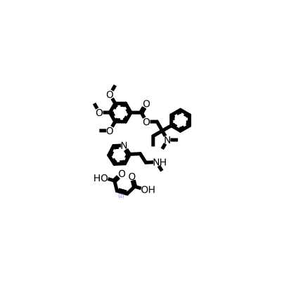 CCC(COC(=O)c1cc(OC)c(OC)c(OC)c1)(c1ccccc1)N(C)C.CNCCc1ccccn1.O=C(O)/C=C\C(=O)O